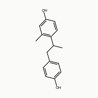 Cc1cc(O)ccc1C(C)Cc1ccc(O)cc1